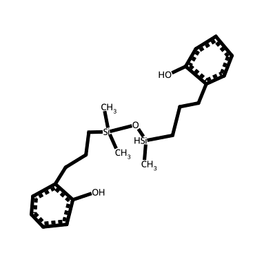 C[SiH](CCCc1ccccc1O)O[Si](C)(C)CCCc1ccccc1O